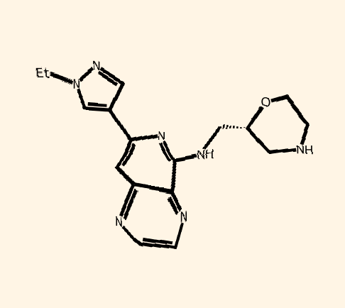 CCn1cc(-c2cc3nccnc3c(NC[C@H]3CNCCO3)n2)cn1